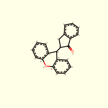 O=C1c2ccccc2CC1C1c2ccccc2Oc2ccccc21